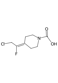 O=C(O)N1CCC(=C(F)CCl)CC1